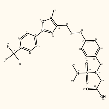 Cc1oc(-c2ccc(C(F)(F)F)cc2)nc1CCOc1ccc(CN(CC(=O)O)S(=O)(=O)N(C)C)cc1